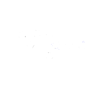 c1ccc(-c2nc(-c3ccc(-c4cccnc4)cc3)cc(-c3cccc(-c4cccc(-c5cccc6c5-c5ccccc5C65CCCCC5)c4)c3)n2)cc1